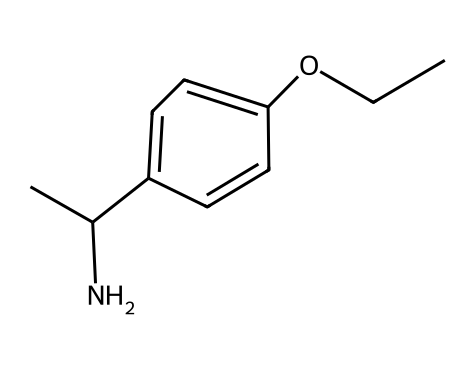 CCOc1ccc(C(C)N)cc1